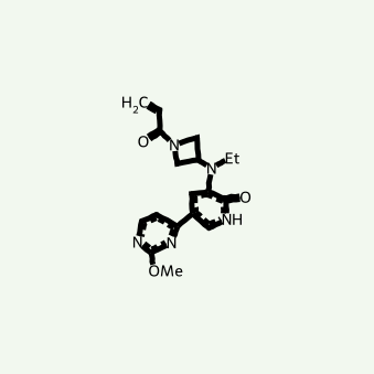 C=CC(=O)N1CC(N(CC)c2cc(-c3ccnc(OC)n3)c[nH]c2=O)C1